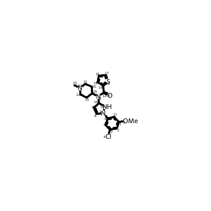 COc1cc(Cl)cc(N2C=CC(N(C(=O)c3cccs3)C3CCN(C)CC3)N2)c1